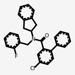 O=C(c1cc(Cl)ccc1-c1ccccc1)N(Cc1ccccc1F)C1Cc2ccccc2C1